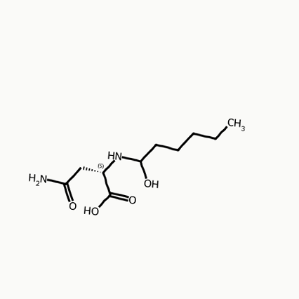 CCCCCC(O)N[C@@H](CC(N)=O)C(=O)O